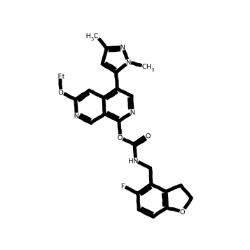 CCOc1cc2c(-c3cc(C)nn3C)cnc(OC(=O)NCc3c(F)ccc4c3CCO4)c2cn1